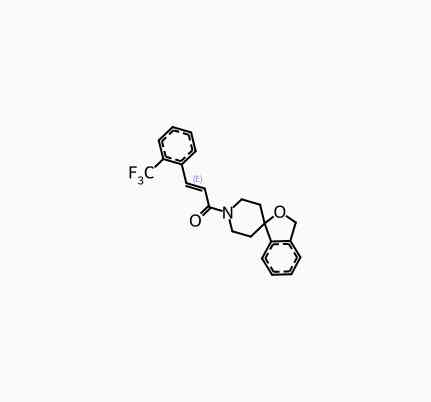 O=C(/C=C/c1ccccc1C(F)(F)F)N1CCC2(CC1)OCc1ccccc12